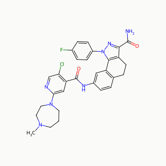 CN1CCCN(c2cc(C(=O)Nc3ccc4c(c3)-c3c(c(C(N)=O)nn3-c3ccc(F)cc3)CC4)c(Cl)cn2)CC1